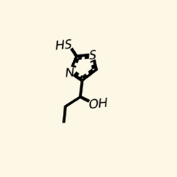 CCC(O)c1csc(S)n1